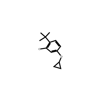 CC(C)(C)c1ccc(OC2CC2)cc1Cl